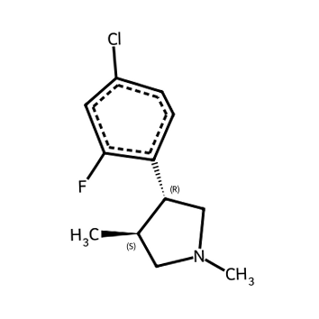 C[C@@H]1CN(C)C[C@H]1c1ccc(Cl)cc1F